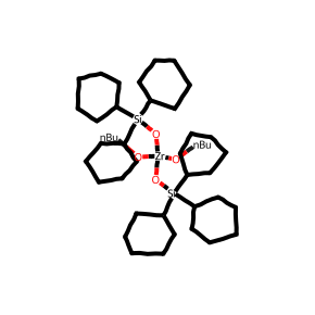 CCCC[O][Zr]([O]CCCC)([O][Si](C1CCCCC1)(C1CCCCC1)C1CCCCC1)[O][Si](C1CCCCC1)(C1CCCCC1)C1CCCCC1